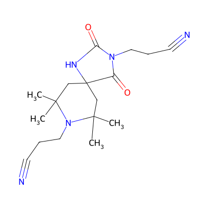 CC1(C)CC2(CC(C)(C)N1CCC#N)NC(=O)N(CCC#N)C2=O